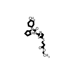 CCOC(=O)CCSc1cnc(NC(=O)N(C2CCCC2)[C@H]2CC[C@H](C)CC2)s1